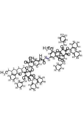 CCCCCCCCOc1c(O[C@@H]2O[C@H](COCc3ccccc3)[C@H](OCc3ccccc3)[C@H](OCc3ccccc3)[C@H]2OCc2ccccc2)c2ccc(NC(=O)/C=C/c3cc(OC)c(O[C@@H]4O[C@H](COCc5ccccc5)[C@H](OCc5ccccc5)[C@H](OCc5ccccc5)[C@H]4OCc4ccccc4)c(OC)c3)cc2n(C)c1=O